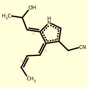 C\C=C/C=c1/c(CC#N)c[nH]/c1=C\C(C)O